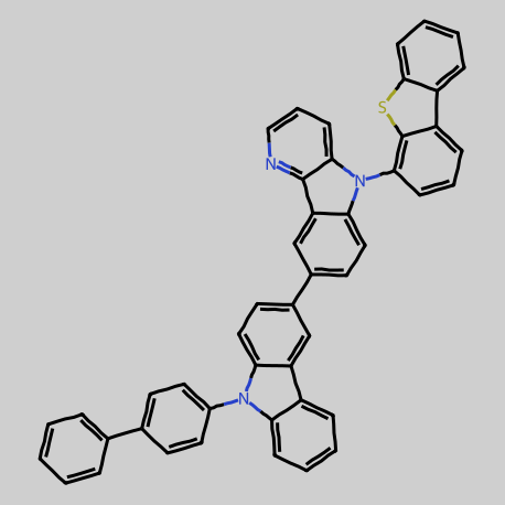 c1ccc(-c2ccc(-n3c4ccccc4c4cc(-c5ccc6c(c5)c5ncccc5n6-c5cccc6c5sc5ccccc56)ccc43)cc2)cc1